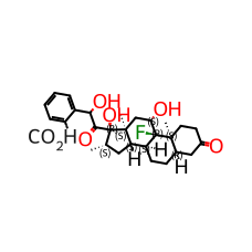 C[C@H]1C[C@H]2[C@@H]3CC[C@@H]4CC(=O)CC[C@]4(C)[C@@]3(F)[C@@H](O)C[C@]2(C)[C@@]1(O)C(=O)C(O)c1ccccc1C(=O)O